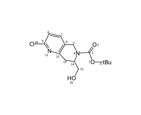 CC(C)(C)OC(=O)N1Cc2ccc(Cl)nc2CC1CO